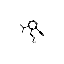 CC(C)c1cccc(C#N)c1C=NO